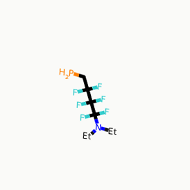 CCN(CC)C(F)(F)C(F)(F)C(F)(F)CP